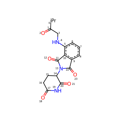 CC(C)C(=O)CNc1cccc2c1C(=O)N(C1CCC(=O)NC1=O)C2=O